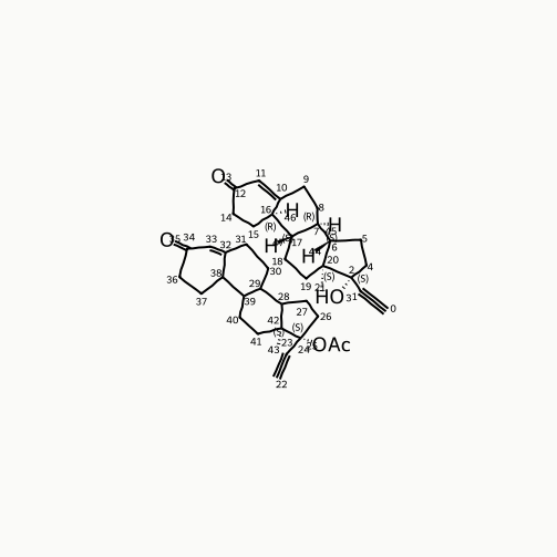 C#C[C@]1(O)CC[C@H]2[C@@H]3CCC4=CC(=O)CC[C@@H]4[C@H]3CC[C@@]21C.C#C[C@]1(OC(C)=O)CCC2C3CCC4=CC(=O)CCC4C3CC[C@@]21C